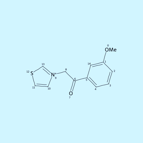 COc1cccc(C(=O)C[n+]2ccsc2)c1